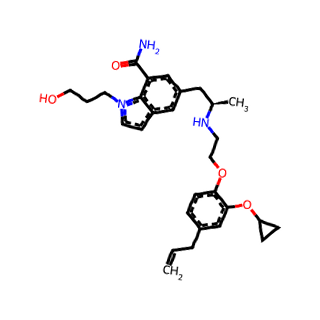 C=CCc1ccc(OCCN[C@H](C)Cc2cc(C(N)=O)c3c(ccn3CCCO)c2)c(OC2CC2)c1